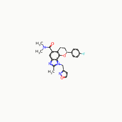 Cc1nc2cc(C(=O)N(C)C)c3c(c2n1Cc1ccon1)OC(c1ccc(F)cc1)CC3